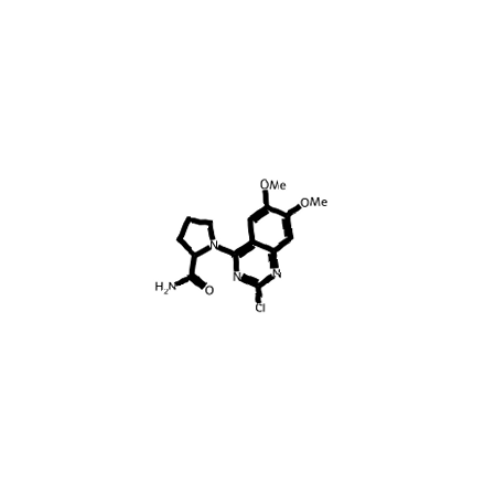 COc1cc2nc(Cl)nc(N3CCCC3C(N)=O)c2cc1OC